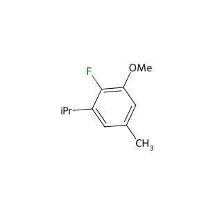 COc1cc(C)cc(C(C)C)c1F